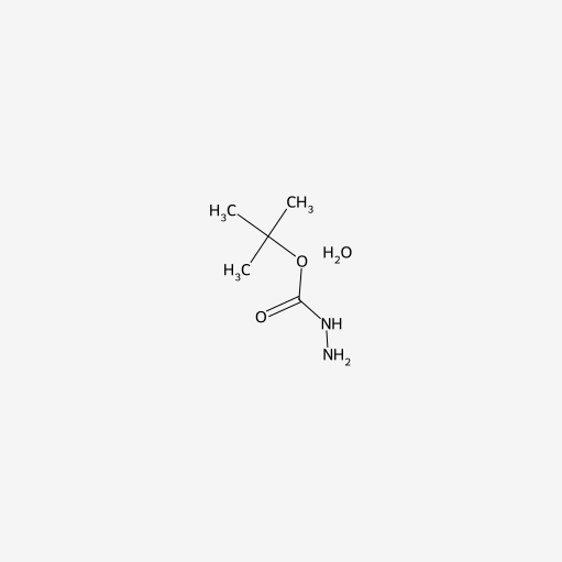 CC(C)(C)OC(=O)NN.O